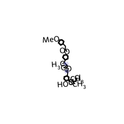 COc1ccc(CC(=O)Oc2ccc(/C(C)=C/S(=O)(=O)/C=C/c3ccc(O)c(O[Si](C)(C)CCl)c3)cc2)cc1